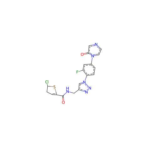 O=C(NCc1cn(-c2ccc(-n3ccncc3=O)cc2F)nn1)C1=CCC(Cl)S1